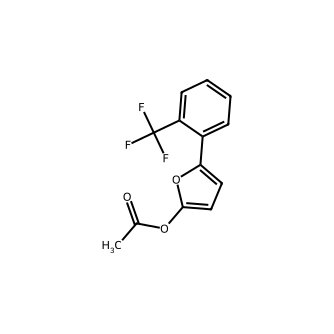 CC(=O)Oc1ccc(-c2ccccc2C(F)(F)F)o1